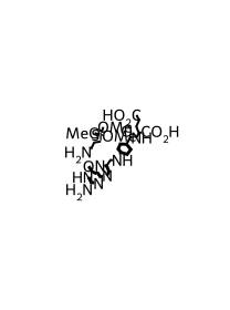 CO[Si](CCCN)(OC)OC.Nc1nc2ncc(CNc3ccc(C(=O)NC(CCC(=O)O)C(=O)O)cc3)nc2c(=O)[nH]1